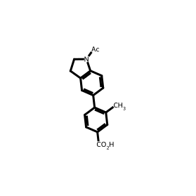 CC(=O)N1CCc2cc(-c3ccc(C(=O)O)cc3C)ccc21